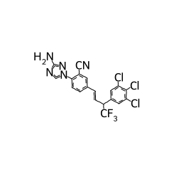 N#Cc1cc(C=CC(c2cc(Cl)c(Cl)c(Cl)c2)C(F)(F)F)ccc1-n1cnc(N)n1